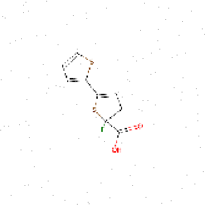 O=C(O)C1(F)CC=C(c2cccs2)S1